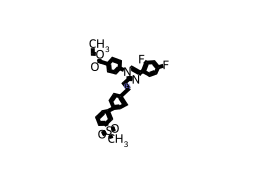 CCOC(=O)c1ccc(-n2cc(-c3ccc(F)cc3F)nc2/C=C/c2ccc(-c3cccc(S(C)(=O)=O)c3)cc2)cc1